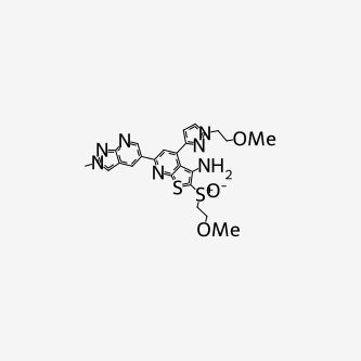 COCCn1ccc(-c2cc(-c3cnc4nn(C)cc4c3)nc3sc([S+]([O-])CCOC)c(N)c23)n1